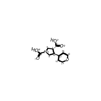 O=C(O)[C@H]1CN(C(=O)O)C[C@@H]1C1CCOCC1